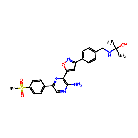 BC(B)(O)NCc1ccc(-c2cc(-c3nc(-c4ccc(S(=O)(=O)C(C)C)cc4)cnc3N)on2)cc1